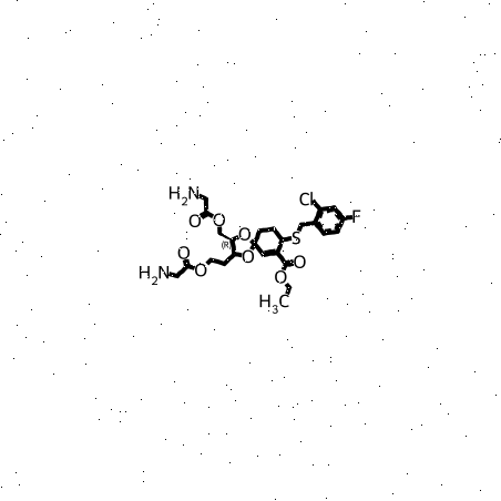 CCOC(=O)C1=CC2(CCC1SCc1ccc(F)cc1Cl)OC(CCOC(=O)CN)[C@@H](COC(=O)CN)O2